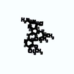 COc1c(C)cnc(Cc2cn(CC(C)C)c3c(Cl)nc(N)nc23)c1C